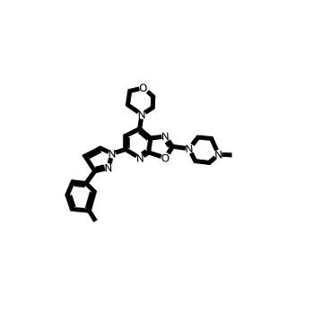 Cc1cccc(-c2ccn(-c3cc(N4CCOCC4)c4nc(N5CCN(C)CC5)oc4n3)n2)c1